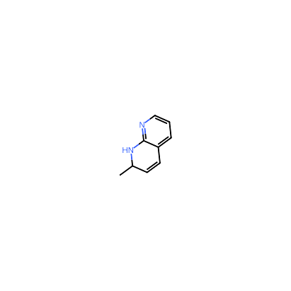 CC1C=Cc2cccnc2N1